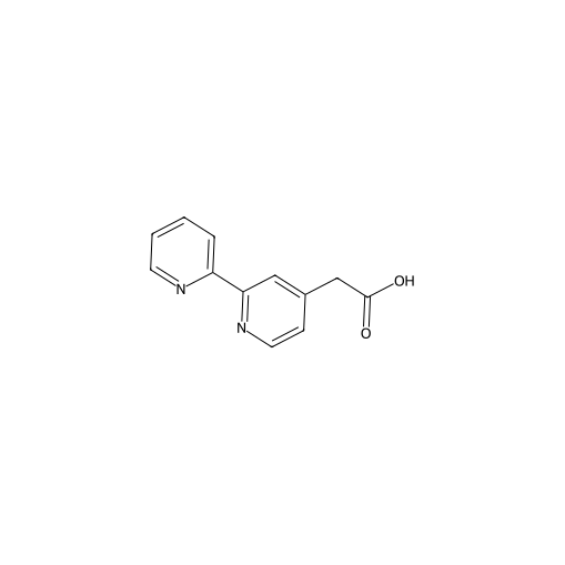 O=C(O)Cc1ccnc(-c2ccccn2)c1